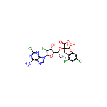 C[C@@H](OC(Cc1ccc(Cl)cc1F)(C(=O)O)C(=O)O)[C@H]1O[C@@H](n2cnc3c(N)nc(Cl)nc32)[C@@H](F)[C@@H]1O